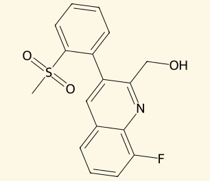 CS(=O)(=O)c1ccccc1-c1cc2cccc(F)c2nc1CO